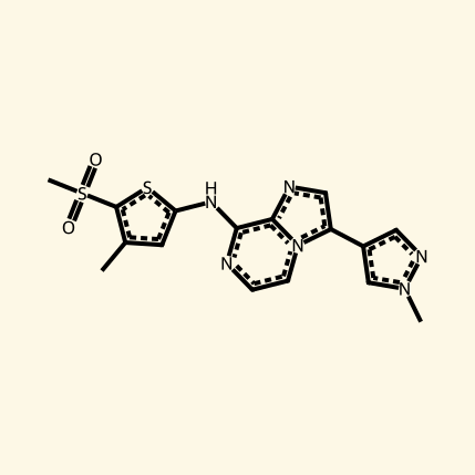 Cc1cc(Nc2nccn3c(-c4cnn(C)c4)cnc23)sc1S(C)(=O)=O